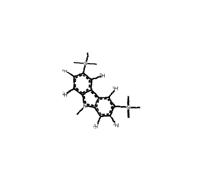 [2H]c1c([Si](C)(C)C)c([2H])c2c3c([2H])c([Si](C)(C)C)c([2H])c([2H])c3n(C)c2c1[2H]